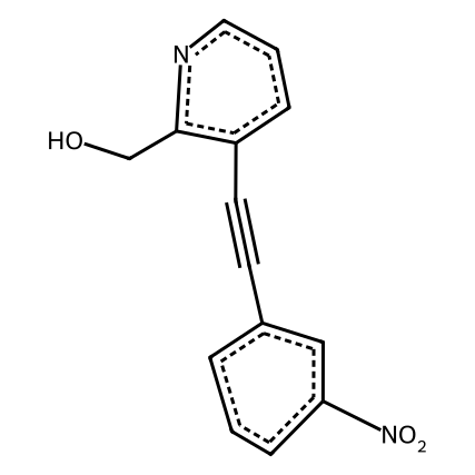 O=[N+]([O-])c1cccc(C#Cc2cccnc2CO)c1